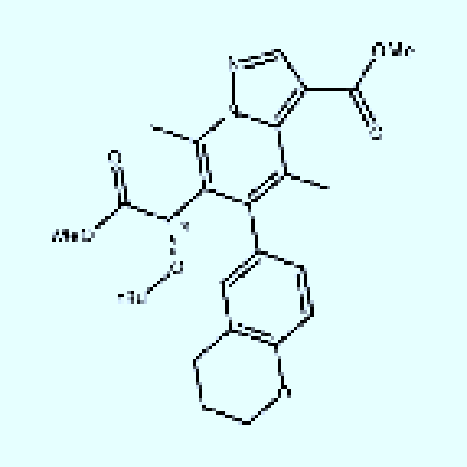 COC(=O)c1cnn2c(C)c([C@H](OC(C)(C)C)C(=O)OC)c(-c3ccc4c(c3)CCCO4)c(C)c12